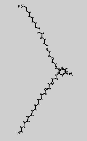 CCCCCCCCCCCCCCCCOCCOCCOc1ccc(N)cc1OCCOCCOCCCCCCCCCCCCCCCC